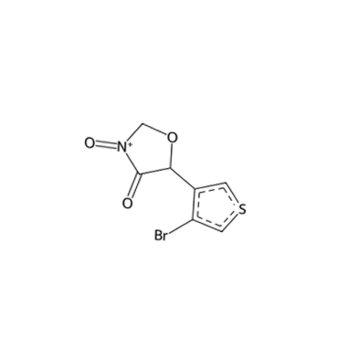 O=C1C(c2cscc2Br)OC[N+]1=O